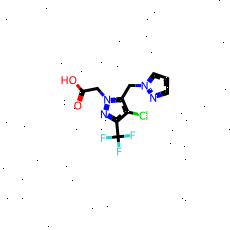 O=C(O)Cn1nc(C(F)(F)F)c(Cl)c1Cn1cccn1